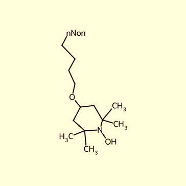 CCCCCCCCCCCCCOC1CC(C)(C)N(O)C(C)(C)C1